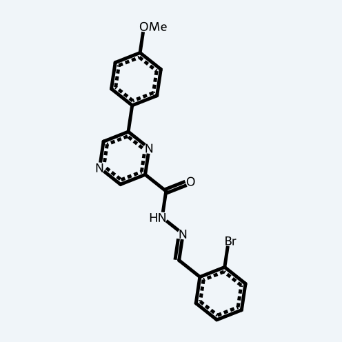 COc1ccc(-c2cncc(C(=O)NN=Cc3ccccc3Br)n2)cc1